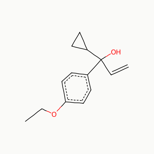 C=CC(O)(c1ccc(OCC)cc1)C1CC1